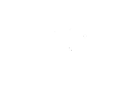 c1ccc2c(c1)-c1ccccc1C21c2ccccc2-c2cc(N(c3ccc4c5ccccc5c5ccccc5c4c3)c3cccc4oc5ccccc5c34)ccc21